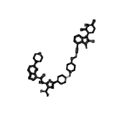 Cn1c(=O)n(C2CCC(=O)NC2=O)c2cccc(C#CCOC3CCN(C[C@H]4CC[C@H](c5nc(C(F)F)c(NC(=O)c6cnn7ccc(N8CCOCC8)nc67)s5)CC4)CC3)c21